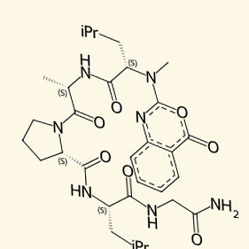 CC(C)C[C@H](NC(=O)[C@@H]1CCCN1C(=O)[C@H](C)NC(=O)[C@H](CC(C)C)N(C)c1nc2ccccc2c(=O)o1)C(=O)NCC(N)=O